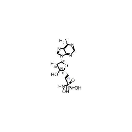 Nc1ncnc2c1ncn2[C@@H]1O[C@H](/C=C/P(=O)(NO)NO)[C@@H](O)[C@@H]1F